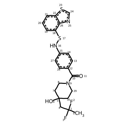 CC(F)(F)CC1(O)CCN(C(=O)c2ccc(NSc3cccc4scnc34)cc2)CC1